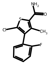 Cc1c(C(N)=O)sc(Cl)c1-c1ccccc1F